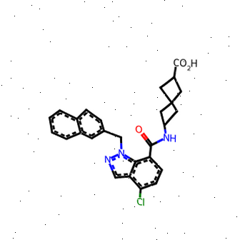 O=C(NC1CC2(C1)CC(C(=O)O)C2)c1ccc(Cl)c2cnn(Cc3ccc4ccccc4c3)c12